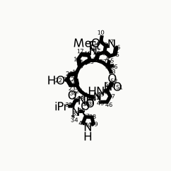 CCn1c(-c2cccnc2[C@H](C)OC)c2c3cc(ccc31)-c1cc(O)cc(c1)C[C@H](NC(=O)C(C(C)C)N(C)C(=O)[C@H]1CCNC1)C(=O)N1CCC[C@H](N1)C(=O)OCC(C)(C)C2